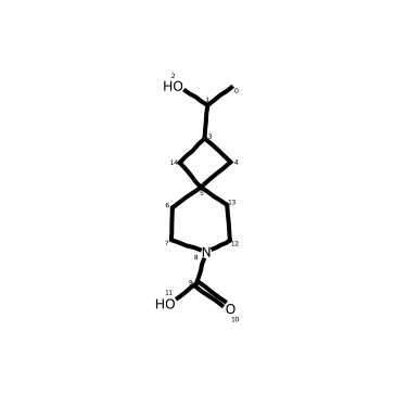 CC(O)C1CC2(CCN(C(=O)O)CC2)C1